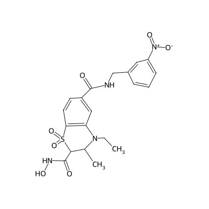 CCN1c2cc(C(=O)NCc3cccc([N+](=O)[O-])c3)ccc2S(=O)(=O)C(C(=O)NO)C1C